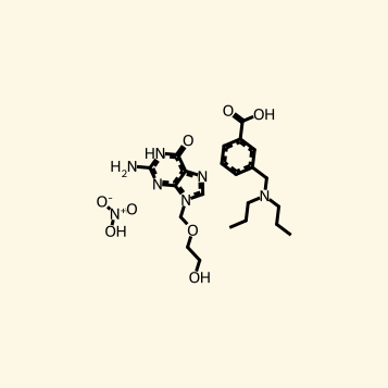 CCCN(CCC)Cc1cccc(C(=O)O)c1.Nc1nc2c(ncn2COCCO)c(=O)[nH]1.O=[N+]([O-])O